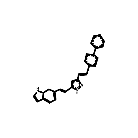 C1=CC2=CC=C(/C=C/c3cc(/C=C/c4ccc(-c5ccccc5)cc4)n[nH]3)CC2N1